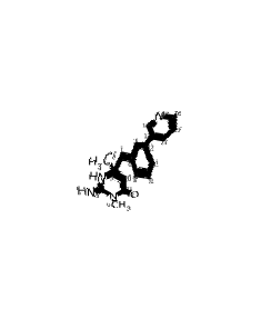 CN1C(=N)N[C@](C)(Cc2cccc(-c3cccnc3)c2)CC1=O